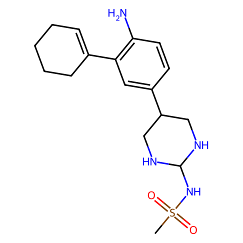 CS(=O)(=O)NC1NCC(c2ccc(N)c(C3=CCCCC3)c2)CN1